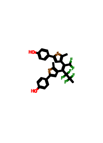 Cc1sc(-c2ccc(O)cc2)cc1/C(=C(\c1cc(-c2ccc(O)cc2)sc1C)C(F)(F)C(C)(F)F)C(F)F